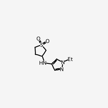 CCn1cc(NC2CCS(=O)(=O)C2)cn1